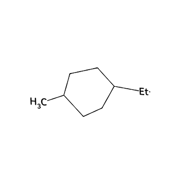 C[CH]C1CCC(C)CC1